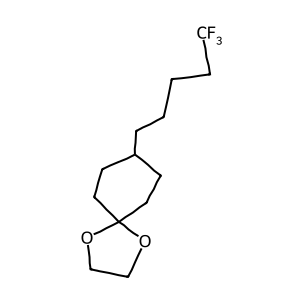 FC(F)(F)CCCCC1CCC2(CC1)OCCO2